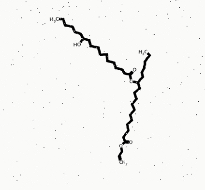 C=CCOC(=O)CCCCCCCCCCC(CCCCCC)OC(=O)CCCCCCCCCCC(O)CCCCCC